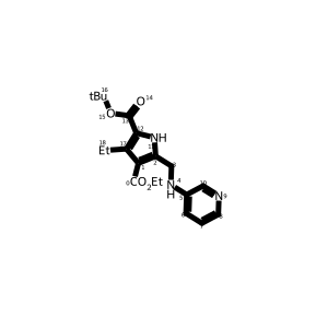 CCOC(=O)c1c(CNc2cccnc2)[nH]c(C(=O)OC(C)(C)C)c1CC